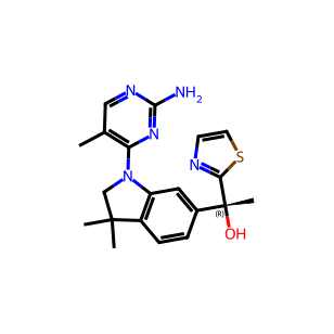 Cc1cnc(N)nc1N1CC(C)(C)c2ccc([C@@](C)(O)c3nccs3)cc21